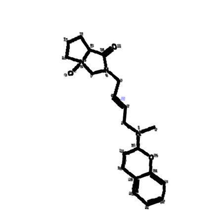 CN(C/C=C/CN1C[N+]2([O-])CCCC2C1=O)C1CCc2ccccc2O1